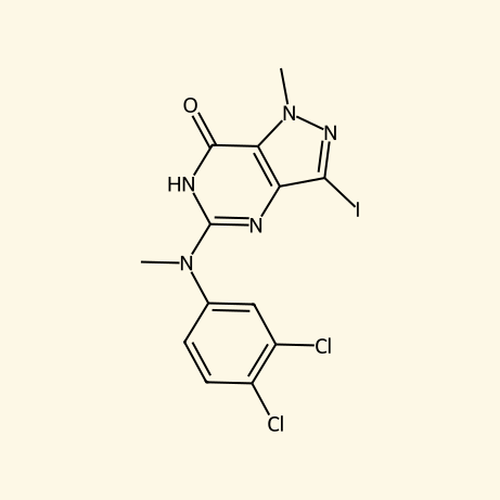 CN(c1ccc(Cl)c(Cl)c1)c1nc2c(I)nn(C)c2c(=O)[nH]1